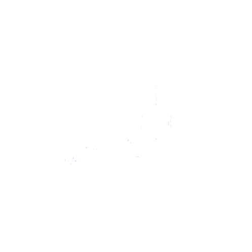 NCCCN1CCc2cc(F)c(F)cc21